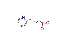 O=P(=O)C=CCc1ccccn1